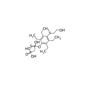 CCc1c(CC)c(SCCO)c(CC)c(CC)c1OP(O)(=S)CP(=O)(O)O